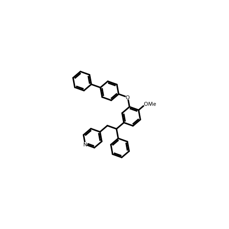 COc1ccc(C(Cc2ccncc2)c2ccccc2)cc1Oc1ccc(-c2ccccc2)cc1